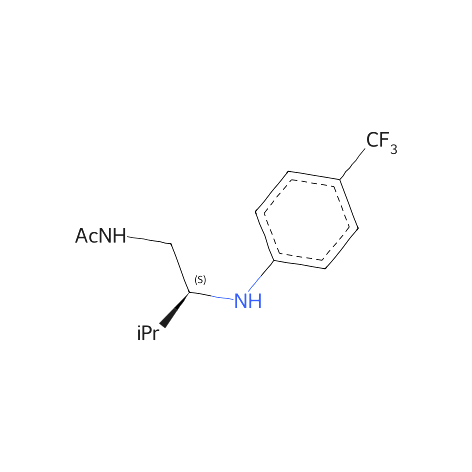 CC(=O)NC[C@@H](Nc1ccc(C(F)(F)F)cc1)C(C)C